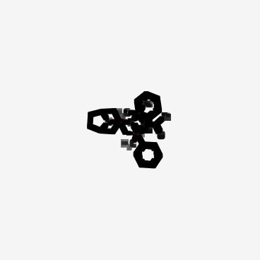 CCC(=O)N([C@@H](CCN1C2CCC1CC(n1c(C)nc3ccccc31)C2)c1ccccc1)N(C)C(C)=O